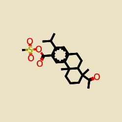 CC(=O)C1(C)CCCC2(C)c3cc(C(=O)OS(C)(=O)=O)c(C(C)C)cc3CCC12